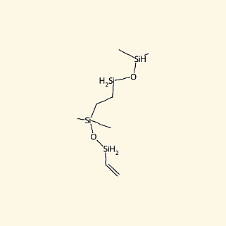 C=C[SiH2]O[Si](C)(C)CC[SiH2]O[SiH](C)C